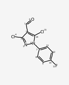 O=Cc1c(Cl)nn(-c2ccc(F)cc2)c1Cl